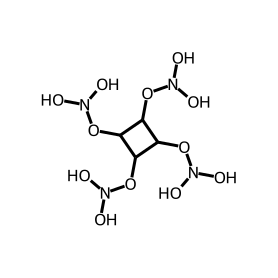 ON(O)OC1C(ON(O)O)C(ON(O)O)C1ON(O)O